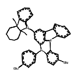 CC(C)(C)c1ccc(N2c3ccc(C(C)(C)C)cc3B3c4ccccc4-c4cc(N5c6ccccc6C6(C)CCCCC56C)cc2c43)cc1